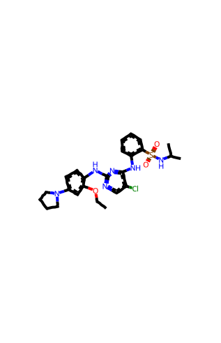 CCOc1cc(N2CCCC2)ccc1Nc1ncc(Cl)c(Nc2ccccc2S(=O)(=O)NC(C)C)n1